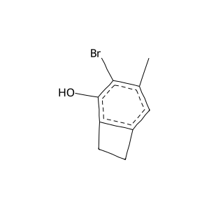 Cc1cc2c(c(O)c1Br)CC2